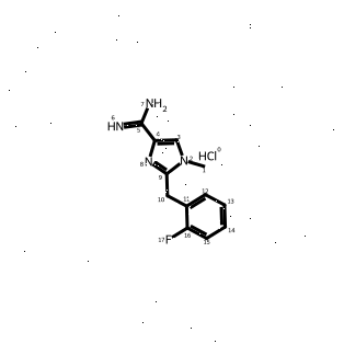 Cl.Cn1cc(C(=N)N)nc1Cc1ccccc1F